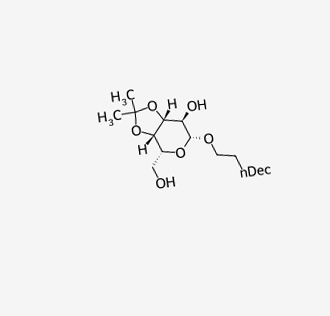 CCCCCCCCCCCCO[C@@H]1O[C@H](CO)[C@@H]2OC(C)(C)O[C@@H]2[C@H]1O